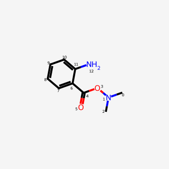 CN(C)OC(=O)c1ccccc1N